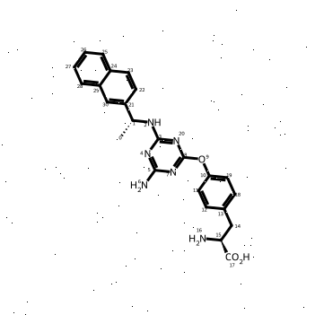 C[C@@H](Nc1nc(N)nc(Oc2ccc(C[C@H](N)C(=O)O)cc2)n1)c1ccc2ccccc2c1